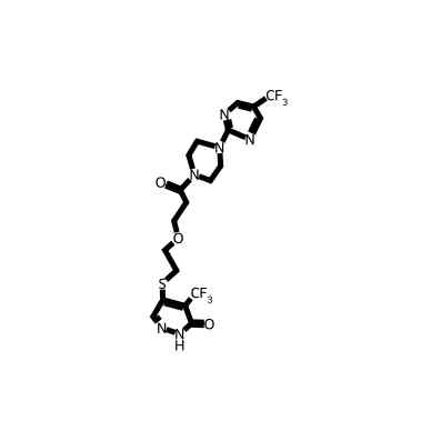 O=C(CCOCCSc1cn[nH]c(=O)c1C(F)(F)F)N1CCN(c2ncc(C(F)(F)F)cn2)CC1